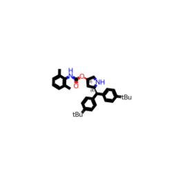 Cc1cccc(C)c1NC(=O)O[C@H]1CN[C@@H](C(c2ccc(C(C)(C)C)cc2)c2ccc(C(C)(C)C)cc2)C1